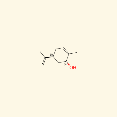 C=C(C)[C@H]1CC=C(C)[C@@H](O)C1